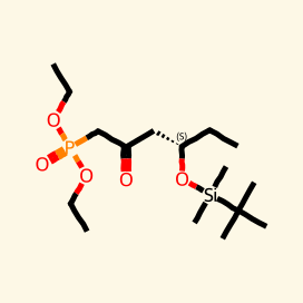 CCOP(=O)(CC(=O)C[C@H](CC)O[Si](C)(C)C(C)(C)C)OCC